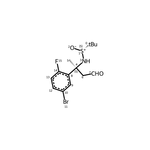 CC(C)(C)[S@@+]([O-])N[C@@](C)(CC=O)c1cc(Br)ccc1F